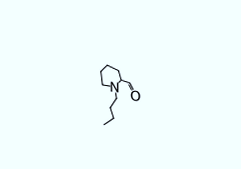 CCCCN1CCCCC1C=O